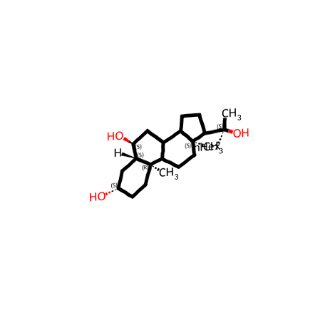 CCCCCC[C@](C)(O)C1CCC2C3C[C@H](O)[C@H]4C[C@@H](O)CC[C@]4(C)C3CC[C@@]21C